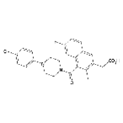 Cc1c(CC(=O)O)cc2ccc(F)cc2c1C(=O)N1CCN(c2ccc(Cl)cc2)CC1